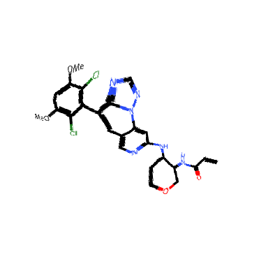 C=CC(=O)NC1COCCC1Nc1cc2c(cn1)cc(-c1c(Cl)c(OC)cc(OC)c1Cl)c1ncnn12